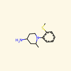 CSc1ccccc1N1CCC(N)CC1C